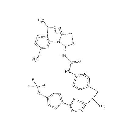 Cc1ccc(C(C)C)c(N2C(=O)CSC2NC(=O)Nc2ccc(CN(C)c3ncn(-c4ccc(OC(F)(F)F)cc4)n3)cn2)c1